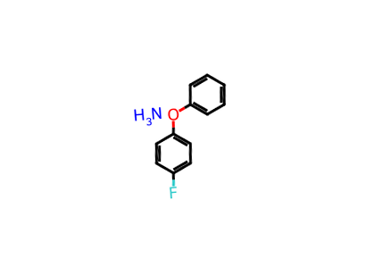 Fc1ccc(Oc2ccccc2)cc1.N